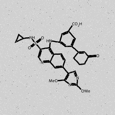 COc1ncc(-c2ccc3c(Nc4cc(C(=O)O)cc(C5=CC(=O)CCC5)c4)c(S(=O)(=O)NC4CC4)cnc3c2)c(OC)n1